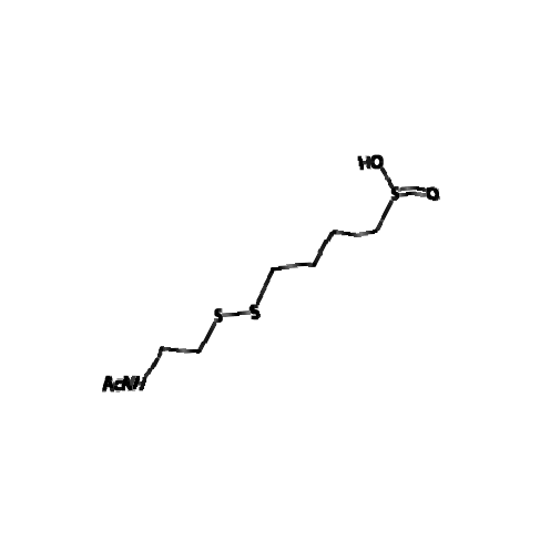 CC(=O)NCCSSCCCCS(=O)O